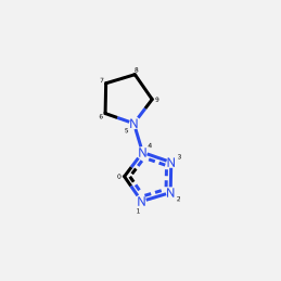 c1nnnn1N1CCCC1